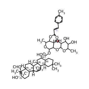 Cc1ccc(/C=C/C(=O)OC2C(C)OC(OC(=O)[C@]34CCC(C)(C)C[C@H]3C3C=C[C@@H]5[C@@]6(C)CC[C@H](O)[C@@](C)(C=O)[C@@H]6CC[C@@]5(C)[C@]3(C)C[C@H]4O)C(OC3OC(C)C(O)C(O)C3O)C2O)cc1